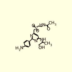 CC(=O)NCCS(=O)(=O)Cc1cc(N[C@@H](C)CO)nc(-c2ccc(N)cc2)n1